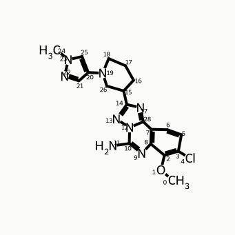 COc1c(Cl)ccc2c1nc(N)n1nc(C3CCCN(c4cnn(C)c4)C3)nc21